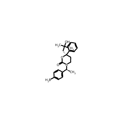 Bc1ccc([C@H](C)N2CC[C@](CC(C)(C)O)(c3ccccc3)OC2=O)cc1